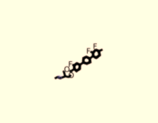 C/C=C/C1COC(c2ccc(-c3ccc(-c4ccc(C)c(F)c4F)cc3)cc2F)OC1